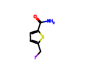 NC(=O)c1ccc(CI)s1